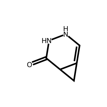 O=C1NNC=C2CC12